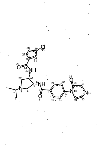 CC(C)N1C[C@@H](NC(=O)c2ccc(-n3ccncc3=O)cc2)[C@H](NC(=O)c2ccc(Cl)s2)C1